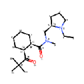 CCN1CCC[C@@H]1CN(C)C(=O)[C@@H]1CCCC[C@@H]1C(=O)C(C)(C)C